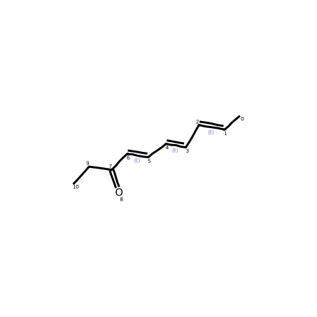 C/C=C/C=C/C=C/C(=O)CC